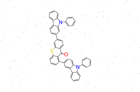 O=c1c2ccc(-c3ccc4c5ccccc5n(-c5ccccc5)c4c3)cc2sc2cccc(-c3ccc4c(c3)c3ccccc3n4-c3ccccc3)c12